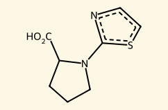 O=C(O)C1CCCN1c1nccs1